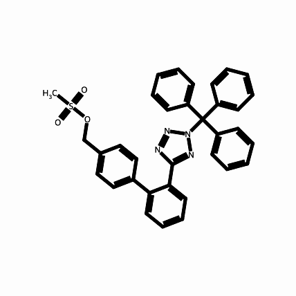 CS(=O)(=O)OCc1ccc(-c2ccccc2-c2nnn(C(c3ccccc3)(c3ccccc3)c3ccccc3)n2)cc1